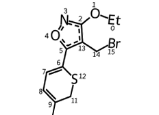 CCOc1noc(C2=CC=C(C)CS2)c1CBr